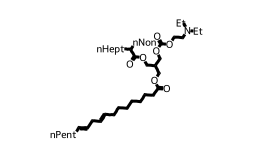 CCCCCC=CCC=CCCCCCCCC(=O)OCC(COC(=O)OCCN(CC)CC)COC(=O)C(CCCCCCC)CCCCCCCCC